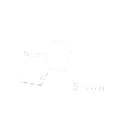 O=C(O)NC1CCOc2ncccc21